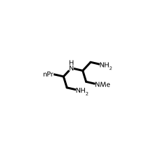 CCCC(CN)NC(CN)CNC